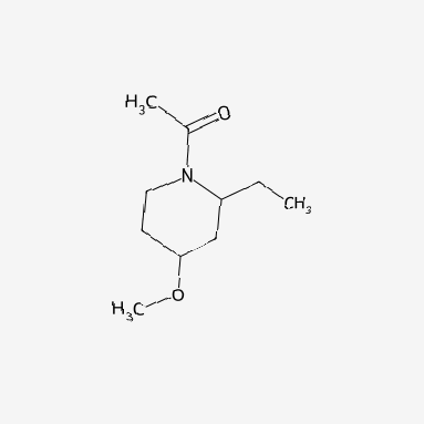 CCC1CC(OC)CCN1C(C)=O